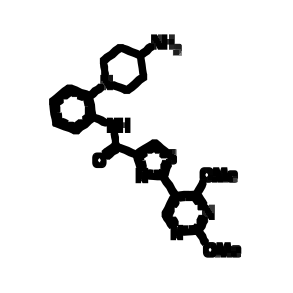 COc1ncc(-c2nc(C(=O)Nc3ccccc3N3CCC(N)CC3)cs2)c(OC)n1